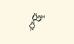 CN1CCN(c2ccnc3[nH]ccc23)CC1